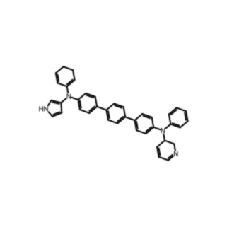 C1=CC(N(c2ccccc2)c2ccc(-c3ccc(-c4ccc(N(C5=CCCC=C5)c5cc[nH]c5)cc4)cc3)cc2)CN=C1